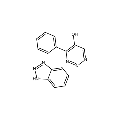 Oc1cnnnc1-c1ccccc1.c1ccc2[nH]nnc2c1